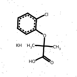 CC(C)(Oc1ccccc1Cl)C(=O)O.[KH]